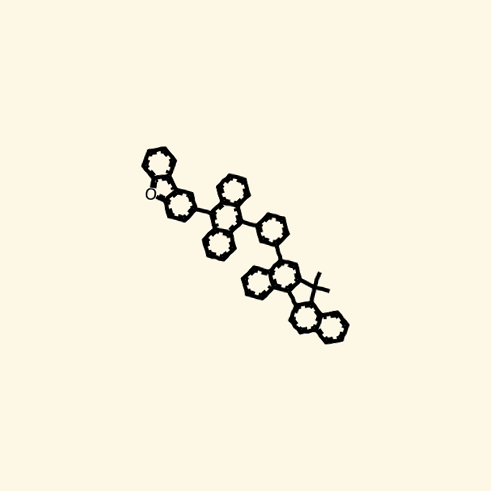 CC1(C)c2cc(-c3cccc(-c4c5ccccc5c(-c5ccc6oc7ccccc7c6c5)c5ccccc45)c3)c3ccccc3c2-c2ccc3ccccc3c21